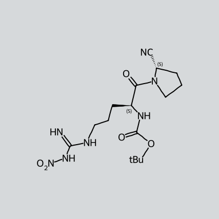 CC(C)(C)OC(=O)N[C@@H](CCCNC(=N)N[N+](=O)[O-])C(=O)N1CCC[C@H]1C#N